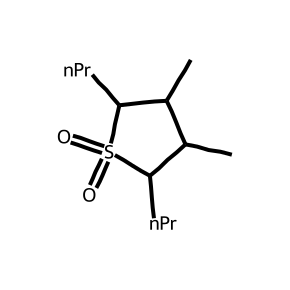 CCCC1C(C)C(C)C(CCC)S1(=O)=O